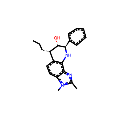 CCC[C@H]1c2ccc3c(nc(C)n3C)c2N[C@H](c2ccccc2)[C@H]1O